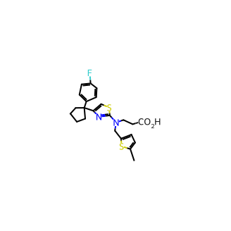 Cc1ccc(CN(CCC(=O)O)c2nc(C3(c4ccc(F)cc4)CCCC3)cs2)s1